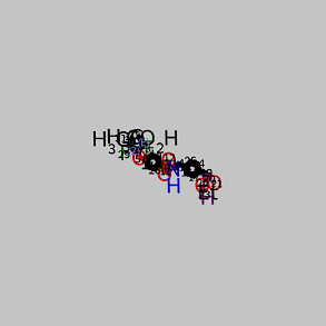 C/C=C(F)\C(Oc1ccc(S(=O)(=O)NCc2ccc(C[PH](=O)OCC)cc2)cc1)=C(\F)C(C)C(=O)O